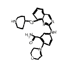 NC(=O)c1cc(Nc2ncc3cccc(OC4CCNCC4)c3n2)ccc1N1CCOCC1